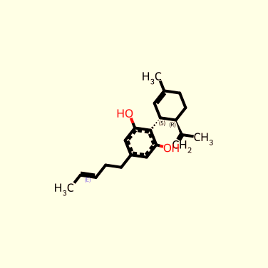 C=C(C)[C@@H]1CCC(C)=C[C@H]1c1c(O)cc(CC/C=C/C)cc1O